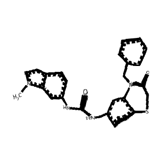 Cn1ccc2ccc(NC(=O)Nc3ccc4c(c3)N(Cc3ccccc3)C(=O)CS4)cc21